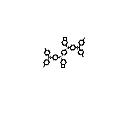 Cc1ccc(N(c2ccc(C)cc2)c2ccc(N(c3ccc(N(c4ccc(N(c5ccc(C)cc5)c5ccc(C)cc5)cc4)c4ccc5c(c4)CC5)cc3)c3ccc4c(c3)CC4)cc2)cc1